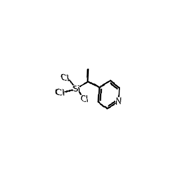 CC(c1ccncc1)[Si](Cl)(Cl)Cl